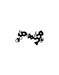 FC(F)(F)c1ccccc1-c1noc(C2CC2)c1/C=C/C1CC2(C1)CN(c1ccc3nccc(OC4COC4)c3c1)C2